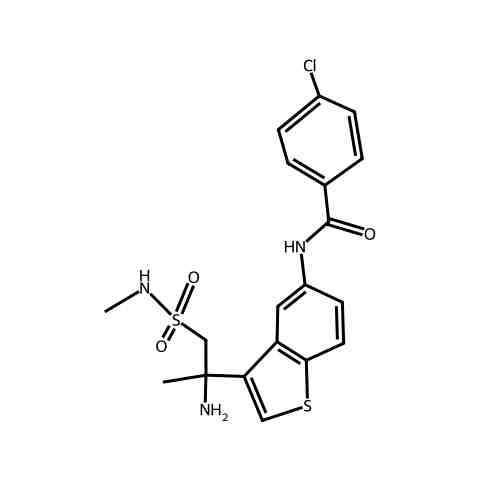 CNS(=O)(=O)CC(C)(N)c1csc2ccc(NC(=O)c3ccc(Cl)cc3)cc12